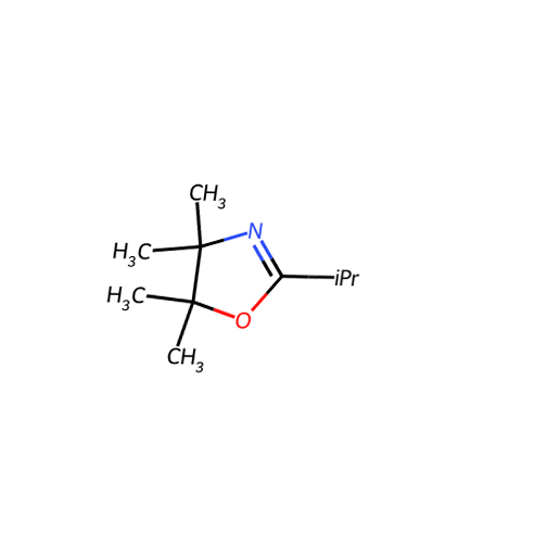 CC(C)C1=NC(C)(C)C(C)(C)O1